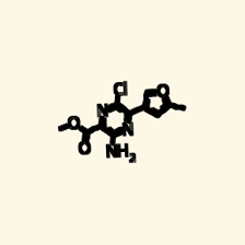 COC(=O)c1nc(Cl)c(-c2coc(C)c2)nc1N